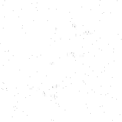 COc1cc(-c2ccc(C3CCc4ccc([C@H](O)[C@H](C)C(=O)O)cc4O3)cc2CNC(C)C)c(F)cn1